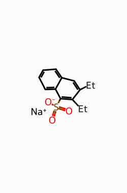 CCc1cc2ccccc2c(S(=O)(=O)[O-])c1CC.[Na+]